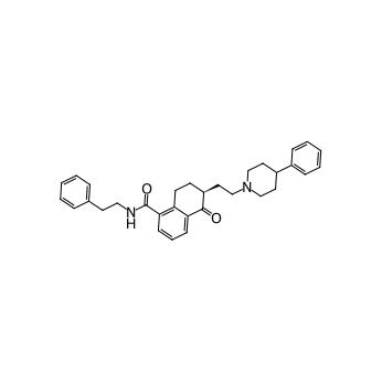 O=C(NCCc1ccccc1)c1cccc2c1CC[C@@H](CCN1CCC(c3ccccc3)CC1)C2=O